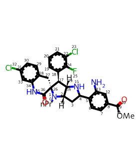 CCCN1[C@H]2CC(c3ccc(C(=O)OC)cc3N)N[C@H]2[C@H](c2cccc(Cl)c2F)[C@@]12Cc1ccc(Cl)cc1NC2=O